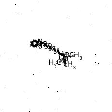 CCO[Si](CCCSSSSSSc1nc2ccccc2s1)(OCC)OCC